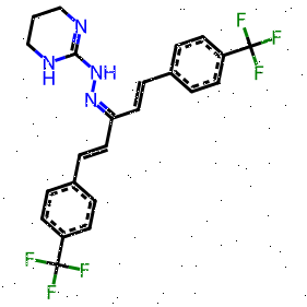 FC(F)(F)c1ccc(/C=C/C(/C=C/c2ccc(C(F)(F)F)cc2)=NNC2=NCCCN2)cc1